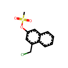 CS(=O)(=O)Oc1cc(CCl)c2ccccc2c1